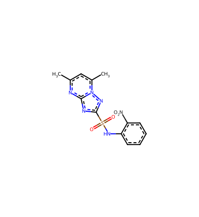 Cc1cc(C)n2nc(S(=O)(=O)Nc3ccccc3[N+](=O)[O-])nc2n1